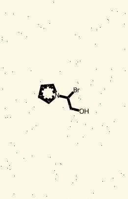 OCC(Br)n1cccc1